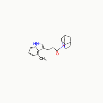 Cc1cccc2[nH]cc(CCC(=O)N3C4CC5CC(C4)CC3C5)c12